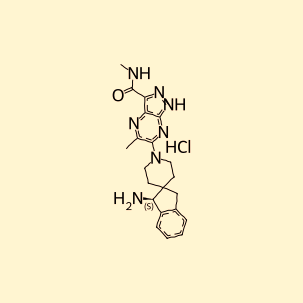 CNC(=O)c1n[nH]c2nc(N3CCC4(CC3)Cc3ccccc3[C@H]4N)c(C)nc12.Cl